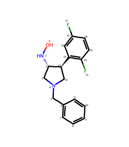 ON[C@H]1CN(Cc2ccccc2)C[C@@H]1c1cc(F)ccc1F